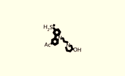 C[SiH2]c1ccc2c(c1)c1cc(C(C)=O)ccc1n2CCCN1CCCC(O)C1